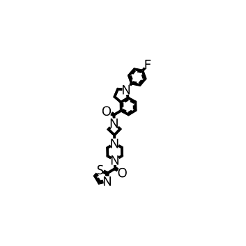 O=C(c1nccs1)N1CCN(C2CN(C(=O)c3cccc4c3CCN4c3ccc(F)cc3)C2)CC1